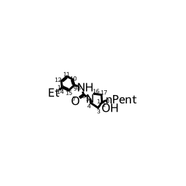 CCCCCC1(O)CCN(C(=O)Nc2cccc(CC)c2)CC1